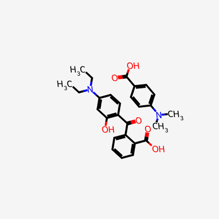 CCN(CC)c1ccc(C(=O)c2ccccc2C(=O)O)c(O)c1.CN(C)c1ccc(C(=O)O)cc1